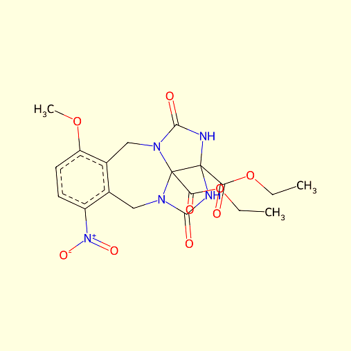 CCOC(=O)C12NC(=O)N3Cc4c(OC)ccc([N+](=O)[O-])c4CN(C(=O)N1)C32C(=O)OCC